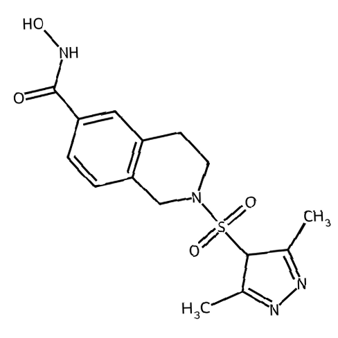 CC1=NN=C(C)C1S(=O)(=O)N1CCc2cc(C(=O)NO)ccc2C1